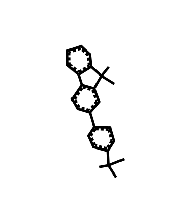 CC(C)(C)c1ccc(-c2ccc3c(c2)C(C)(C)c2ccccc2-3)cc1